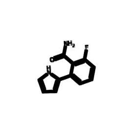 NC(=O)c1c(F)cccc1-c1ccc[nH]1